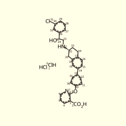 Cl.Cl.O=C(O)c1cccnc1Oc1ccc(-c2ccc3c(c2)C[C@@H](NC[C@H](O)c2cccc(Cl)c2)CC3)cc1